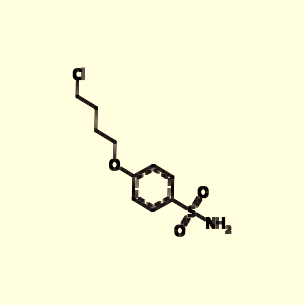 NS(=O)(=O)c1ccc(OCCCCCl)cc1